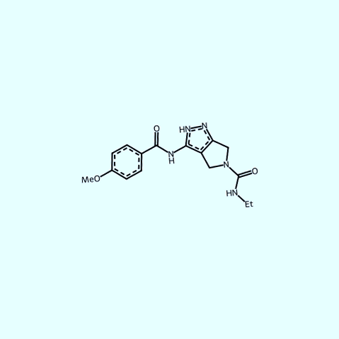 CCNC(=O)N1Cc2n[nH]c(NC(=O)c3ccc(OC)cc3)c2C1